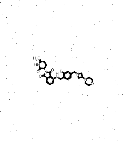 C=C1CC[C@H](N2C(=O)c3cccc(NCc4ccc(CN5CC(N6CCOCC6)C5)cc4F)c3C2=O)C(=O)N1